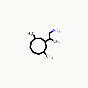 CC1CCCCC(C)CC(C(C)CN)C1